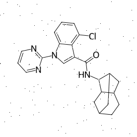 O=C(NC1C2CC3CCC(C2)C1C3)c1cn(-c2ncccn2)c2cccc(Cl)c12